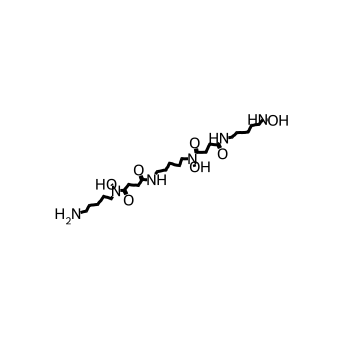 NCCCCCN(O)C(=O)CCC(=O)NCCCCCN(O)C(=O)CCC(=O)NCCCCCNO